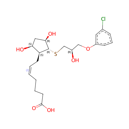 O=C(O)CCC/C=C\C[C@@H]1[C@@H](SC[C@H](O)COc2cccc(Cl)c2)[C@H](O)C[C@@H]1O